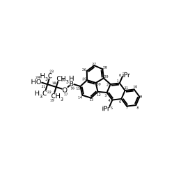 CC(C)c1c2c(c(C(C)C)c3ccccc13)-c1ccc(BOC(C)(C)C(C)(C)O)c3cccc-2c13